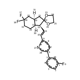 Fc1cccc(-c2ccc(C=C[C@H]3[C@H]4CCC(F)(F)C[C@H]4CC34OCCO4)nc2)c1